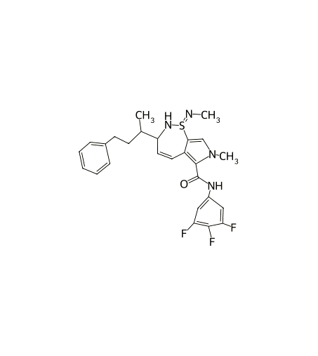 C/N=S1/NC(C(C)CCc2ccccc2)C=Cc2c1cn(C)c2C(=O)Nc1cc(F)c(F)c(F)c1